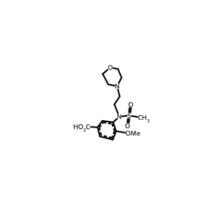 COc1ccc(C(=O)O)cc1N(CCN1CCOCC1)S(C)(=O)=O